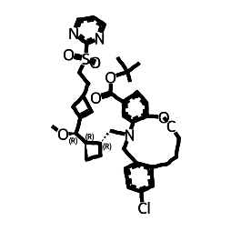 CO[C@@H](C1=CC(CCS(=O)(=O)c2ncccn2)C1)[C@@H]1CC[C@H]1CN1Cc2ccc(Cl)cc2CCCCOc2ccc(C(=O)OC(C)(C)C)cc21